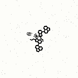 CCCC1=Cc2c(-c3ccc4c5c(cccc35)C=C4)cccc2[CH]1[Zr+2]([CH]1C(CCC)=Cc2c(-c3ccc4c5c(cccc35)C=C4)cccc21)=[Si](C)C.[Cl-].[Cl-]